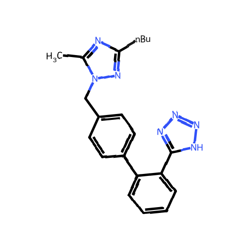 CCCCc1nc(C)n(Cc2ccc(-c3ccccc3-c3nnn[nH]3)cc2)n1